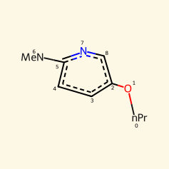 CCCOc1ccc(NC)nc1